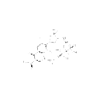 CC(OC(=O)N[C@@H]1CN(c2c(F)cc3c(=O)c(C(=O)O)cn(C4C[C@@H]4F)c3c2Cl)CC12CC2)(P(=O)(O)O)P(=O)(O)O